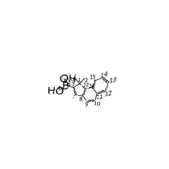 CC1(C)C(B(O)O)=Cc2ccc3ccccc3c21